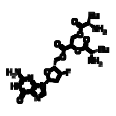 CC[C@H](C)[C@H](N)C(=O)OCC(OC(=O)[C@@H](N)[C@@H](C)CC)C(=O)OC[C@H]1O[C@@H](n2cnc3c(=O)[nH]c(N)nc32)C[C@@H]1F